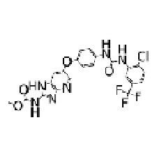 COC(=O)Nc1nc2ncc(Oc3ccc(NC(=O)Nc4cc(C(F)(F)F)ccc4Cl)cc3)cc2[nH]1